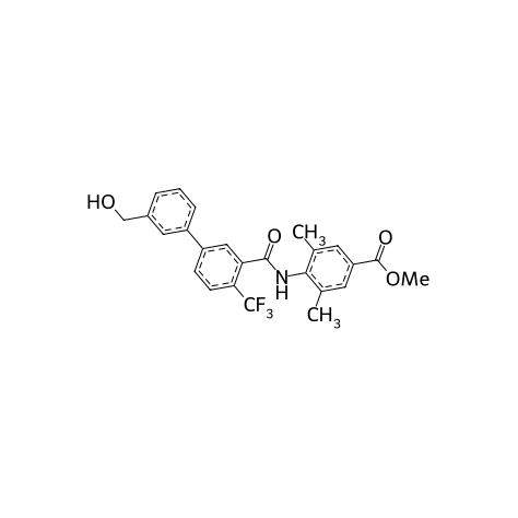 COC(=O)c1cc(C)c(NC(=O)c2cc(-c3cccc(CO)c3)ccc2C(F)(F)F)c(C)c1